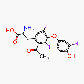 CC(=O)c1c(CC(N)C(=O)O)cc(I)c(Oc2ccc(O)c(I)c2)c1I